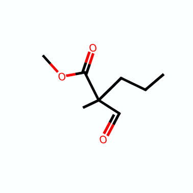 CCCC(C)(C=O)C(=O)OC